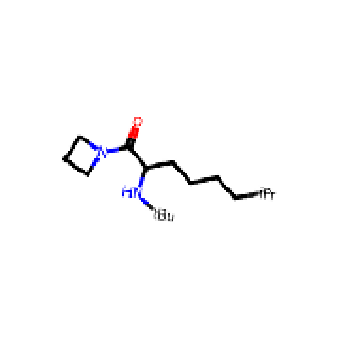 CC(C)CCCCC(NC(C)(C)C)C(=O)N1CCC1